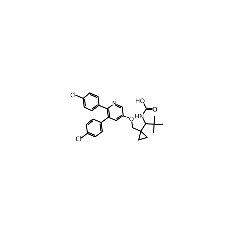 CC(C)(C)C(NC(=O)O)C1(COc2cnc(-c3ccc(Cl)cc3)c(-c3ccc(Cl)cc3)c2)CC1